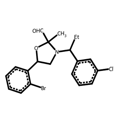 CCC(c1cccc(Cl)c1)N1CC(c2ccccc2Br)OC1(C)C=O